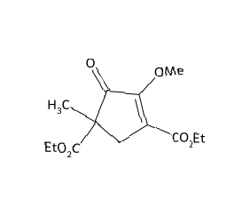 CCOC(=O)C1=C(OC)C(=O)C(C)(C(=O)OCC)C1